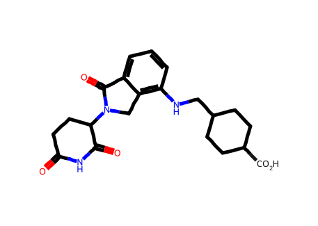 O=C1CCC(N2Cc3c(NCC4CCC(C(=O)O)CC4)cccc3C2=O)C(=O)N1